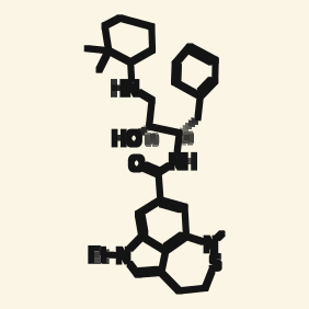 CCn1cc2c3c(cc(C(=O)N[C@@H](Cc4ccccc4)[C@H](O)CNC4CCCCC4(C)C)cc31)N(C)SCC2